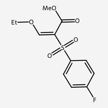 CCOC=C(C(=O)OC)S(=O)(=O)c1ccc(F)cc1